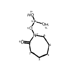 O=C1CCCCCN1OP(O)O